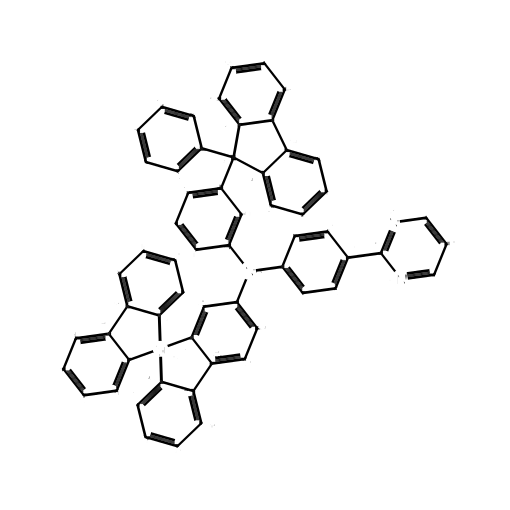 c1ccc(C2(c3cccc(N(c4ccc(-c5ncccn5)cc4)c4ccc5c(c4)[Si]4(c6ccccc6-c6ccccc64)c4ccccc4-5)c3)c3ccccc3-c3ccccc32)cc1